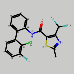 Cc1nc(C(F)F)c(C(=O)Nc2ccccc2-c2cccc(F)c2Cl)s1